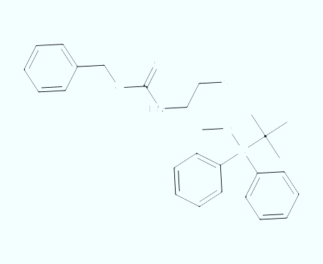 CC(C)(C)[Si](OC[C@@H](CS)NC(=O)OCc1ccccc1)(c1ccccc1)c1ccccc1